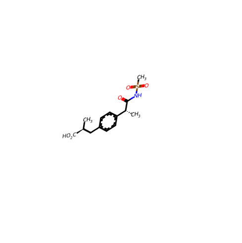 C[C@@H](Cc1ccc([C@@H](C)C(=O)NS(C)(=O)=O)cc1)C(=O)O